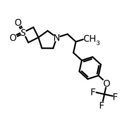 CC(Cc1ccc(OC(F)(F)F)cc1)CN1CCC2(C1)CS(=O)(=O)C2